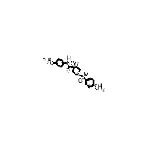 Cc1ccc(S(=O)(=O)N2CCC(O)(C(=O)Nc3ccc(OC(F)(F)F)cc3)CC2)cc1